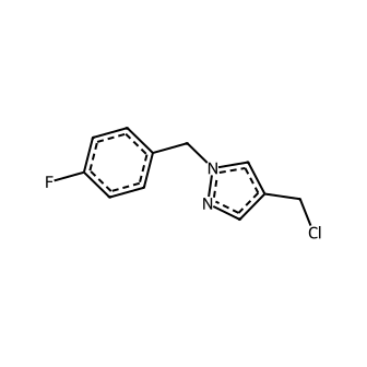 Fc1ccc(Cn2cc(CCl)cn2)cc1